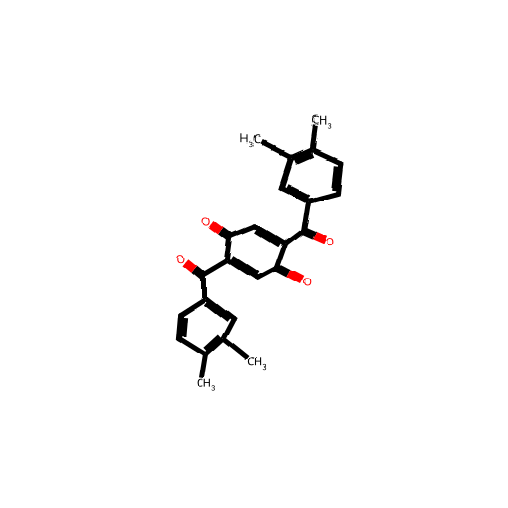 Cc1ccc(C(=O)C2=CC(=O)C(C(=O)c3ccc(C)c(C)c3)=CC2=O)cc1C